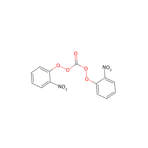 O=C(OOc1ccccc1[N+](=O)[O-])OOc1ccccc1[N+](=O)[O-]